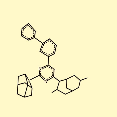 CC1CC2CC(C)C(c3nc(-c4cccc(-c5ccccc5)c4)nc(N4C5CC6CC(C5)CC4C6)n3)C(C1)C2